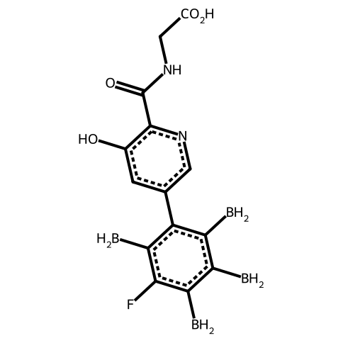 Bc1c(B)c(F)c(B)c(-c2cnc(C(=O)NCC(=O)O)c(O)c2)c1B